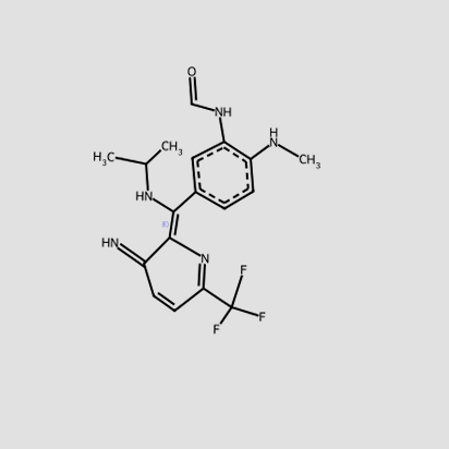 CNc1ccc(/C(NC(C)C)=C2\N=C(C(F)(F)F)C=CC2=N)cc1NC=O